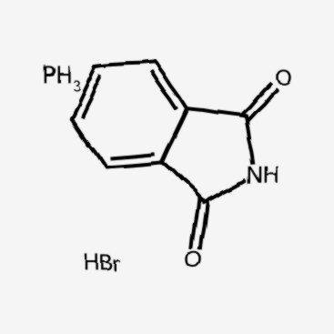 Br.O=C1NC(=O)c2ccccc21.P